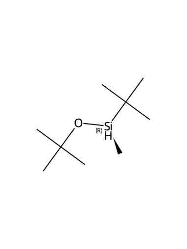 C[Si@@H](OC(C)(C)C)C(C)(C)C